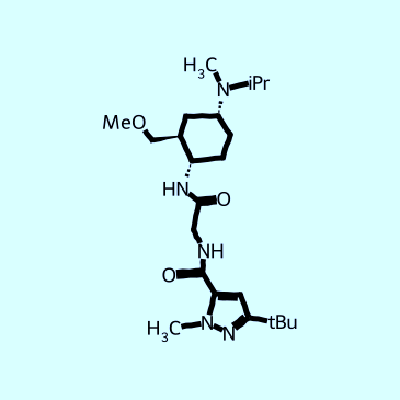 COC[C@H]1C[C@H](N(C)C(C)C)CC[C@@H]1NC(=O)CNC(=O)c1cc(C(C)(C)C)nn1C